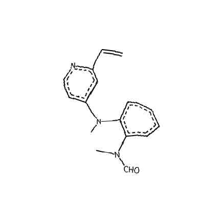 C=Cc1cc(N(C)c2ccccc2N(C)C=O)ccn1